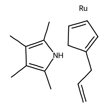 C=CCC1=CC=CC1.Cc1[nH]c(C)c(C)c1C.[Ru]